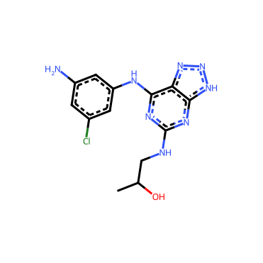 CC(O)CNc1nc(Nc2cc(N)cc(Cl)c2)c2nn[nH]c2n1